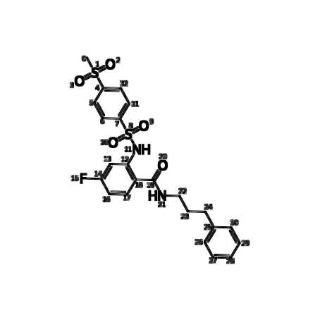 CS(=O)(=O)c1ccc(S(=O)(=O)Nc2cc(F)ccc2C(=O)NCCCc2ccccc2)cc1